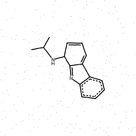 CC(C)NC1C=CC=C2C1=Nc1ccccc12